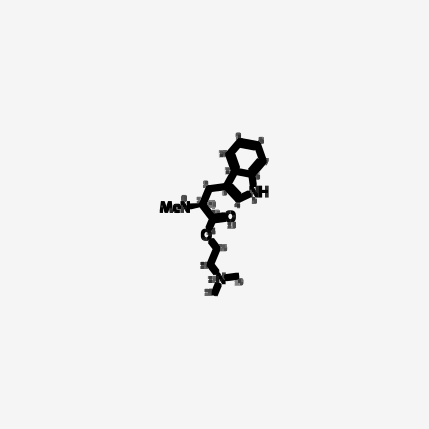 CN[C@@H](Cc1c[nH]c2ccccc12)C(=O)OCCN(C)C